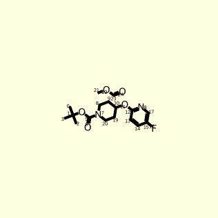 CC(C)(C)OC(=O)N1CCC(Oc2ccc(F)cn2)CC1.COC=O